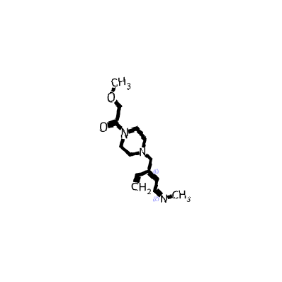 C=C/C(=C\C=N/C)CN1CCN(C(=O)COC)CC1